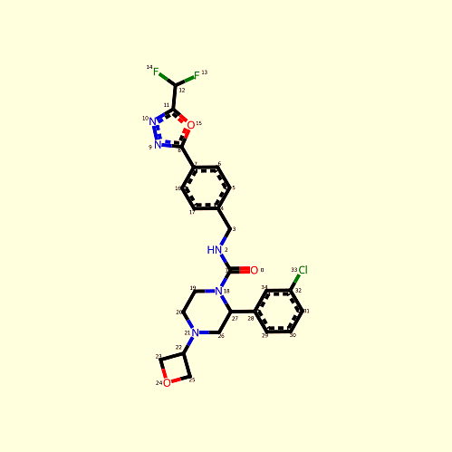 O=C(NCc1ccc(-c2nnc(C(F)F)o2)cc1)N1CCN(C2COC2)CC1c1cccc(Cl)c1